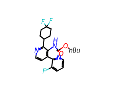 CCCCOC(=O)Nc1c(-c2ncccc2F)ccnc1C1CCC(F)(F)CC1